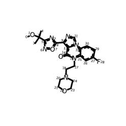 COC(C)(C)c1noc(-c2ncn3c2c(=O)n(CCN2CCOCC2)c2cc(F)ccc23)n1